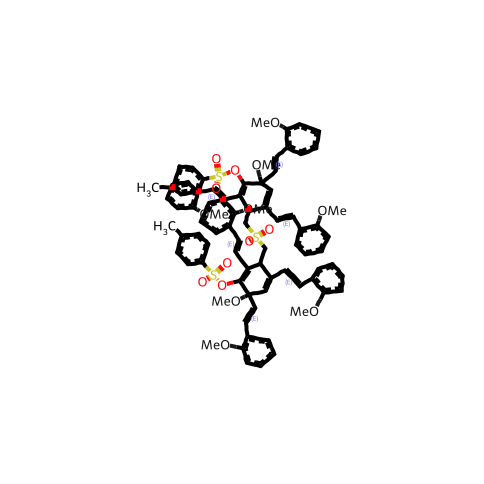 COc1ccccc1/C=C/C1=CC(/C=C/c2ccccc2OC)(OC)C(OS(=O)(=O)c2ccc(C)cc2)=C(/C=C/c2ccccc2OC)C1CS(=O)(=O)CC1C(/C=C/c2ccccc2OC)=CC(/C=C/c2ccccc2OC)(OC)C(OS(=O)(=O)c2ccc(C)cc2)=C1/C=C/c1ccccc1OC